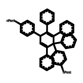 CCCCCc1ccc(C2C=C(c3ccccc3)C(c3ccccc3)(c3ccc(CCCCC)cc3)C(c3ccccc3)=C2c2ccccc2)cc1